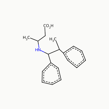 CC(CC(=O)O)NC(c1ccccc1)C(C)c1ccccc1